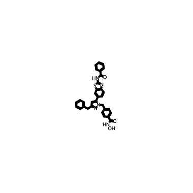 O=C(NO)c1ccc(Cn2nc(Cc3ccccc3)cc2-c2ccc3nc(NC(=O)c4ccccc4)sc3c2)cc1